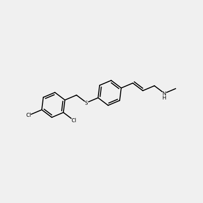 CNCC=Cc1ccc(SCc2ccc(Cl)cc2Cl)cc1